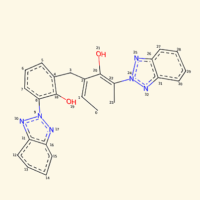 C/C=C(Cc1cccc(-n2nc3ccccc3n2)c1O)\C(O)=C(/C)n1nc2ccccc2n1